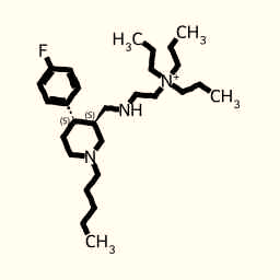 CCCCCN1CC[C@H](c2ccc(F)cc2)[C@@H](CNCC[N+](CCC)(CCC)CCC)C1